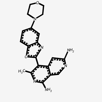 Cc1nc(N)c2cnc(N)cc2c1-c1nc2cc(N3CCOCC3)ccc2o1